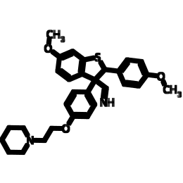 COc1ccc(C2Sc3cc(OC)ccc3C2(C=N)c2ccc(OCCN3CCCCC3)cc2)cc1